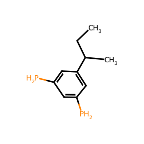 CCC(C)c1cc(P)cc(P)c1